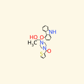 CC(O)C(Oc1cccc2[nH]c3ccccc3c12)N1CCN(C(=O)c2cccs2)CC1